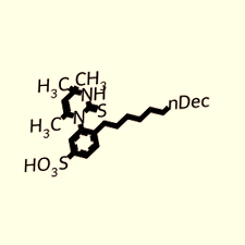 CCCCCCCCCCCCCCCCc1ccc(S(=O)(=O)O)cc1N1C(=S)NC(C)(C)C=C1C